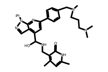 Cc1cc(C)c(CNC(O)c2cc(-c3ccc(CN(C)CCCN(C)C)cc3)nc3c2cnn3C(C)C)c(=O)[nH]1